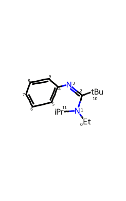 CCN(C(=Nc1ccccc1)C(C)(C)C)C(C)C